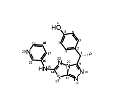 C[C@@H](c1ccc(O)cc1)c1nnc2sc(Nc3cccnc3)nn12